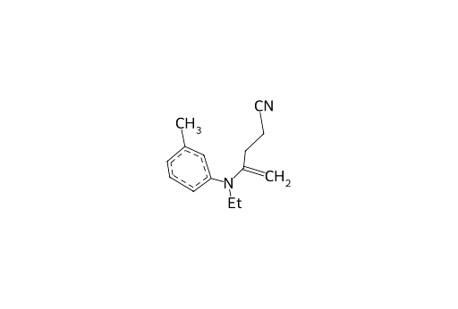 C=C(CCC#N)N(CC)c1cccc(C)c1